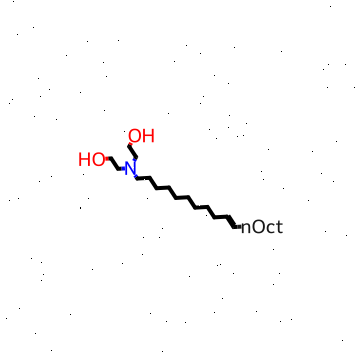 CCCCCCCCC=CCCCCCCCCCN(CCO)CCO